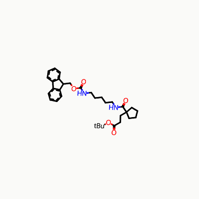 CC(C)(C)OC(=O)CCC1(C(=O)NCCCCCNC(=O)OCC2c3ccccc3-c3ccccc32)CCCC1